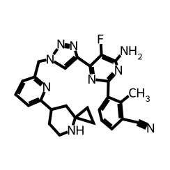 Cc1c(C#N)cccc1-c1nc(N)c(F)c(-c2cn(Cc3cccc(C4CCNC5(CC5)C4)n3)nn2)n1